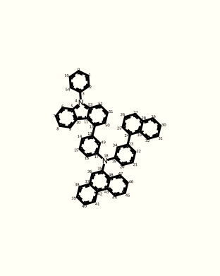 c1ccc(-n2c3ccccc3c3c(-c4cccc(N(c5cccc(-c6cccc7ccccc67)c5)c5cc6ccccc6c6ccccc56)c4)cccc32)cc1